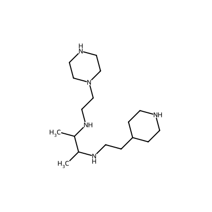 CC(NCCC1CCNCC1)C(C)NCCN1CCNCC1